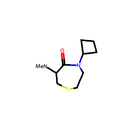 CNC1CSCCN(C2CCC2)C1=O